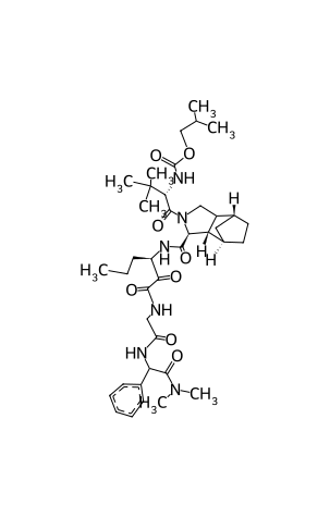 CCC[C@@H](NC(=O)[C@@H]1[C@@H]2C(CN1C(=O)[C@@H](NC(=O)OCC(C)C)C(C)(C)C)[C@@H]1CC[C@@H]2C1)C(=O)C(=O)NCC(=O)NC(C(=O)N(C)C)c1ccccc1